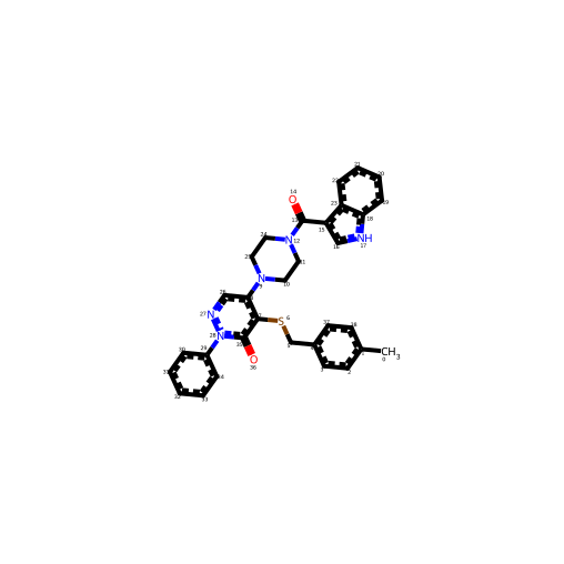 Cc1ccc(CSc2c(N3CCN(C(=O)c4c[nH]c5ccccc45)CC3)cnn(-c3ccccc3)c2=O)cc1